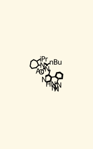 CCCCc1cn(C2C(C(C)=O)CCCCC2C(C)C)c(=O)n1Cc1cnccc1-c1ccccc1-c1nnn[nH]1